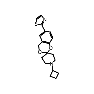 c1csc(-c2ccc3c(c2)COC2(CCN(C4CCC4)CC2)O3)n1